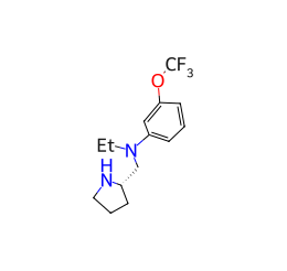 CCN(C[C@@H]1CCCN1)c1cccc(OC(F)(F)F)c1